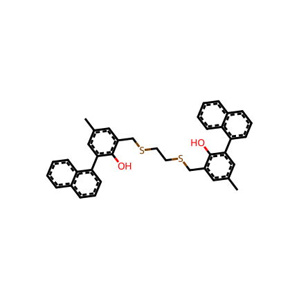 Cc1cc(CSCCSCc2cc(C)cc(-c3cccc4ccccc34)c2O)c(O)c(-c2cccc3ccccc23)c1